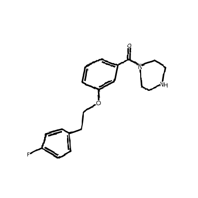 O=C(c1cccc(OCCc2ccc(F)cc2)c1)N1CCNCC1